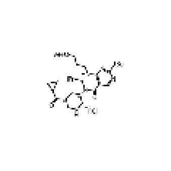 COCCCNc1nc(C(C)(C)C)ncc1C(=O)N(CC(C)C)[C@@H]1CNC[C@H](C(=O)C2CC2)C1.Cl.Cl